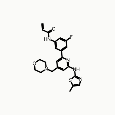 C=CC(=O)Nc1cc(F)cc(-c2cc(CN3CCOCC3)cc(Nc3ncc(C)s3)n2)c1